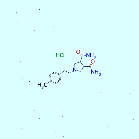 Cc1ccc(CCN2CC(C(N)=O)C(C(N)=O)C2)cc1.Cl